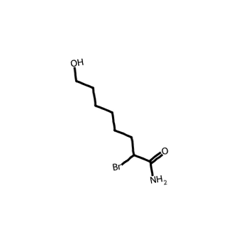 NC(=O)C(Br)CCCCCCO